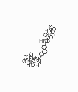 COC(=O)N[C@H](C(=O)N1CCC[C@H]1c1ncc(-c2ccc3c(c2)CCc2cc(-c4cnc([C@@H]5[C@H]6CC[C@H](C6)N5C(=O)[C@@H](NC(=O)OC)[C@@H](C)OC)[nH]4)ccc2-3)[nH]1)C(C)C